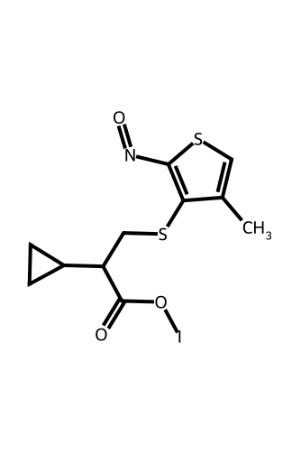 Cc1csc(N=O)c1SCC(C(=O)OI)C1CC1